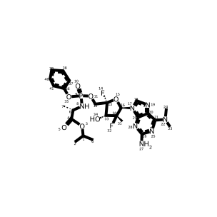 CC(C)OC(=O)[C@H](C)NP(=O)(OC[C@@]1(F)O[C@@H](n2cnc3c(N(C)C)nc(N)nc32)[C@](C)(F)[C@@H]1O)Oc1ccccc1